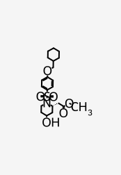 COC(=O)C[C@@H]1C[C@@H](O)CCN1S(=O)(=O)c1ccc(OCC2CCCCC2)cc1